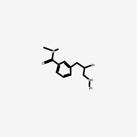 CC(C)NCC(Cc1cccc(C(=O)N(C)C)c1)C(C)C